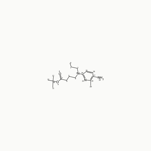 CCCN(CCCC(=O)OC(C)(C)C)c1ccc(N)c(C)n1